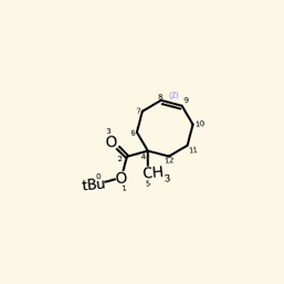 CC(C)(C)OC(=O)C1(C)CC/C=C\CCC1